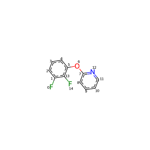 Fc1cccc(Oc2ccc[c]n2)c1F